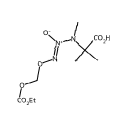 CCOC(=O)OCON=[N+]([O-])N(C)C(C)(C)C(=O)O